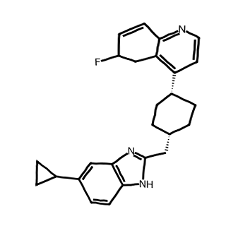 FC1C=Cc2nccc([C@H]3CC[C@@H](Cc4nc5cc(C6CC6)ccc5[nH]4)CC3)c2C1